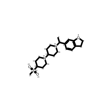 CC(c1ccc2c(c1)OCC2)N1CCC(N2CCC(S(C)(=O)=O)CC2)CC1